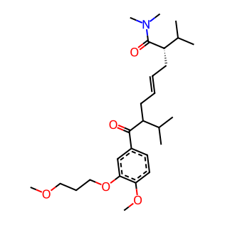 COCCCOc1cc(C(=O)C(CC=CC[C@H](C(=O)N(C)C)C(C)C)C(C)C)ccc1OC